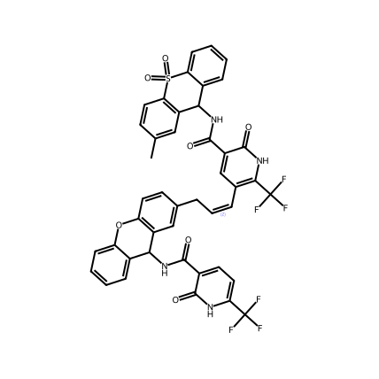 Cc1ccc2c(c1)C(NC(=O)c1cc(/C=C\Cc3ccc4c(c3)C(NC(=O)c3ccc(C(F)(F)F)[nH]c3=O)c3ccccc3O4)c(C(F)(F)F)[nH]c1=O)c1ccccc1S2(=O)=O